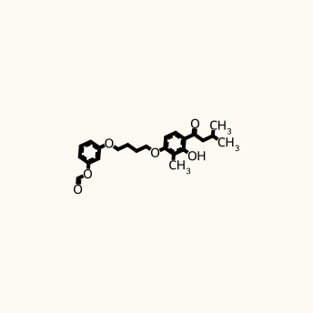 Cc1c(OCCCCOc2cccc(OC=O)c2)ccc(C(=O)CC(C)C)c1O